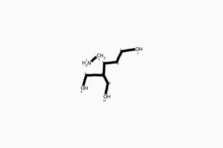 CN.OCCCC(CO)CO